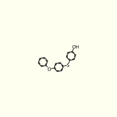 Oc1ccc(Sc2ccc(Oc3ccccc3)cc2)cc1